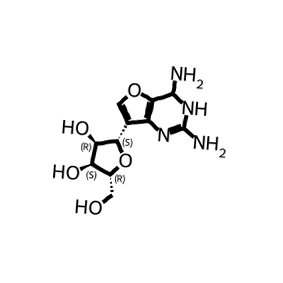 NC1=Nc2c([C@@H]3O[C@H](CO)[C@@H](O)[C@H]3O)coc2C(N)N1